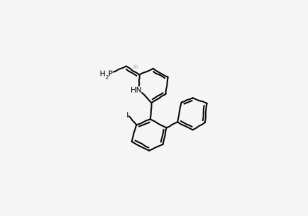 P/C=C1/C=CC=C(c2c(I)cccc2-c2ccccc2)N1